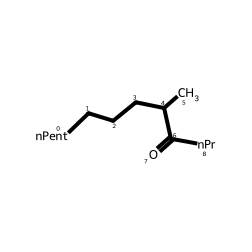 CCCCCCCCC(C)C(=O)CCC